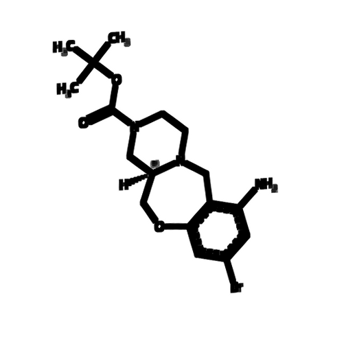 CC(C)(C)OC(=O)N1CCN2Cc3c(N)cc(Br)cc3OC[C@H]2C1